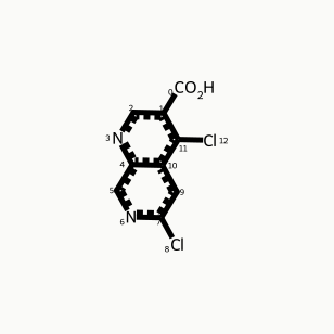 O=C(O)c1cnc2cnc(Cl)cc2c1Cl